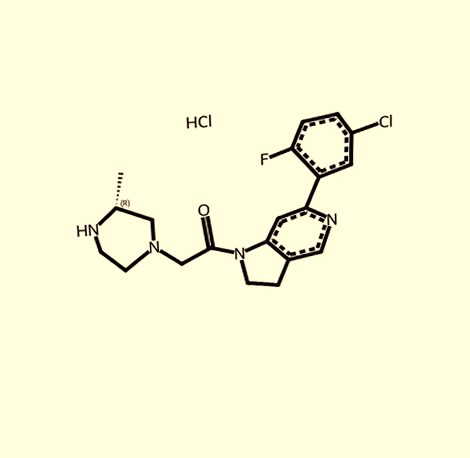 C[C@@H]1CN(CC(=O)N2CCc3cnc(-c4cc(Cl)ccc4F)cc32)CCN1.Cl